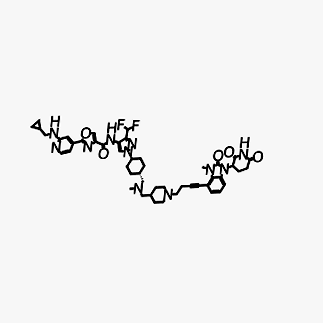 CN(CC1CCN(CCC#Cc2cccc3c2n(C)c(=O)n3C2CCC(=O)NC2=O)CC1)C[C@H]1CC[C@H](n2cc(NC(=O)c3coc(-c4ccnc(NCC5CC5)c4)n3)c(C(F)F)n2)CC1